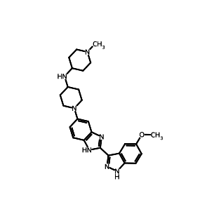 COc1ccc2[nH]nc(-c3nc4cc(N5CCC(NC6CCN(C)CC6)CC5)ccc4[nH]3)c2c1